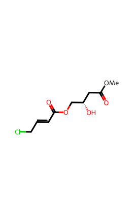 COC(=O)C[C@H](O)COC(=O)/C=C/CCl